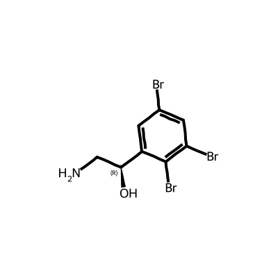 NC[C@H](O)c1cc(Br)cc(Br)c1Br